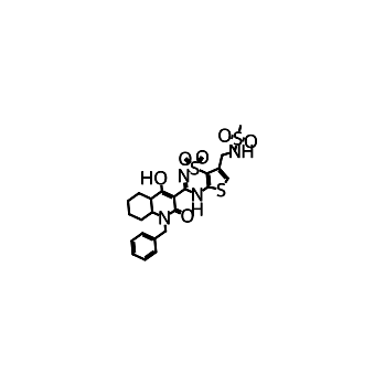 CS(=O)(=O)NCc1csc2c1S(=O)(=O)N=C(C1=C(O)C3CCCCC3N(Cc3ccccc3)C1=O)N2